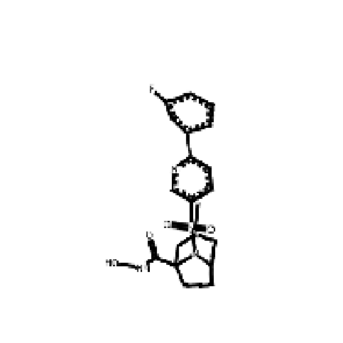 CN1CC2CCC(C(=O)NO)(C1)N2S(=O)(=O)c1ccc(-c2cccc(F)c2)nc1